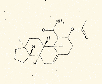 CC(=O)OC1CCC2=CC[C@H]3[C@@H]4CCC[C@@]4(C)CC[C@@H]3[C@@]2(C)C1C(N)=O